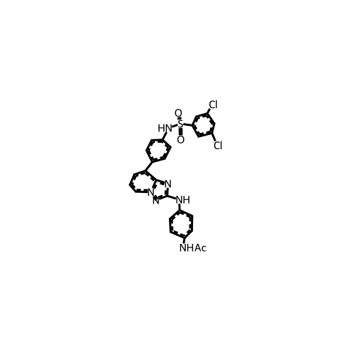 CC(=O)Nc1ccc(Nc2nc3c(-c4ccc(NS(=O)(=O)c5cc(Cl)cc(Cl)c5)cc4)cccn3n2)cc1